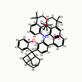 CC1(C)CCC(C)(C)c2c(N(c3cccc4c3C(C)(C)CCC4(C)C)c3c(-c4ccccc4)ccc4c3Oc3ccccc3C43C4CC5CC6CC3C64C5)cccc21